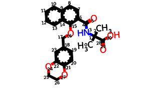 CC(C)(NC(=O)c1ccc2ccccc2c1OCc1ccc2c(c1)OCCO2)C(=O)O